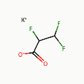 O=C([O-])C(F)C(F)F.[K+]